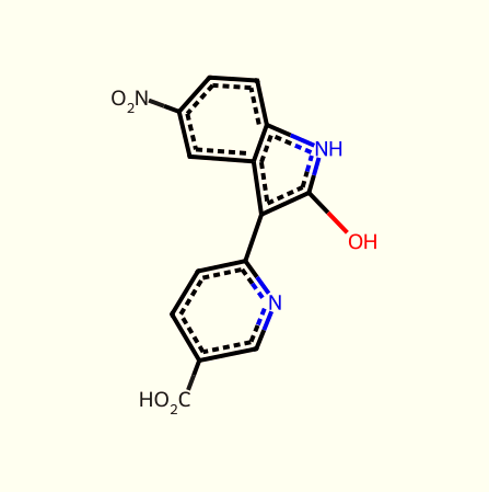 O=C(O)c1ccc(-c2c(O)[nH]c3ccc([N+](=O)[O-])cc23)nc1